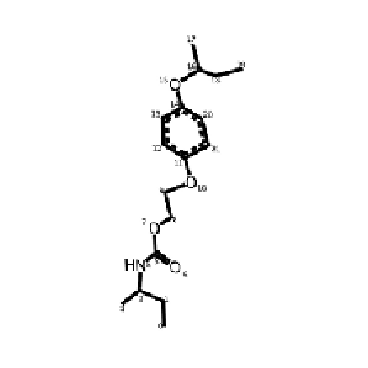 CCC(C)NC(=O)OCCOc1ccc(OC(C)CC)cc1